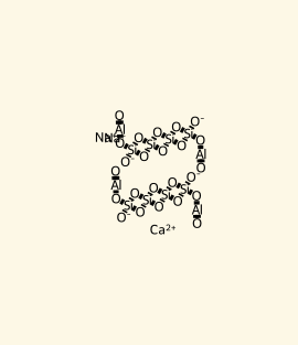 [Ca+2].[Na+].[Na+].[O]=[Al][O][Si]1([O-])O[Si]2(O1)O[Si]1(O[Si]([O-])([O][Al]=[O])O1)O2.[O]=[Al][O][Si]1([O-])O[Si]2(O1)O[Si]1(O[Si]([O-])([O][Al]=[O])O1)O2